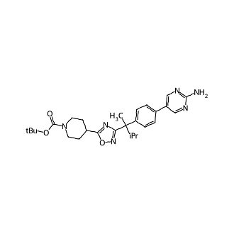 CC(C)C(C)(c1ccc(-c2cnc(N)nc2)cc1)c1noc(C2CCN(C(=O)OC(C)(C)C)CC2)n1